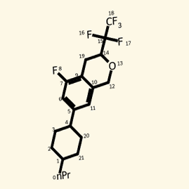 CCCC1CCC(c2cc(F)c3c(c2)COC(C(F)(F)C(F)(F)F)C3)CC1